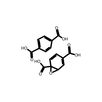 O=C(O)C1=CC2OC2(C(=O)O)C=C1.O=C(O)c1ccc(C(=O)O)cc1